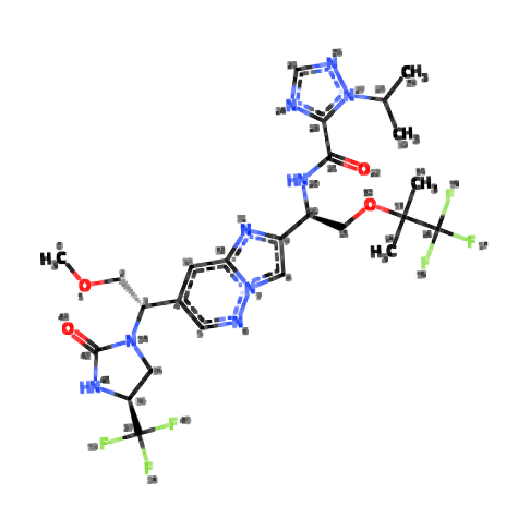 COC[C@H](c1cnn2cc([C@H](COC(C)(C)C(F)(F)F)NC(=O)c3ncnn3C(C)C)nc2c1)N1C[C@@H](C(F)(F)F)NC1=O